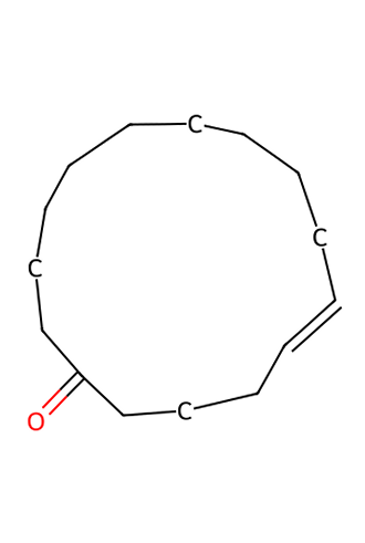 O=C1CCCC=CCCCCCCCCC1